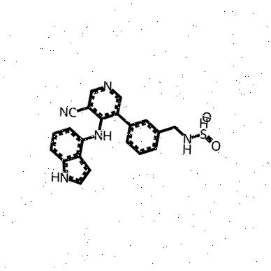 N#Cc1cncc(-c2cccc(CN[SH](=O)=O)c2)c1Nc1cccc2[nH]ccc12